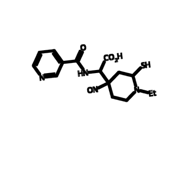 CCN1CCC(N=O)(C(NC(=O)c2cccnc2)C(=O)O)CC1S